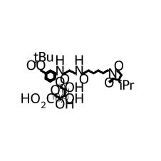 CC(C)C1CC(=O)N(CCCCCC(=O)NCCC(=O)Nc2cc(COC(=O)C(C)(C)C)ccc2O[C@@H]2O[C@H](C(=O)O)[C@@H](O)[C@H](O)[C@H]2O)C1=O